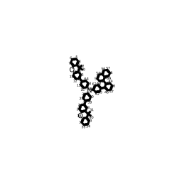 CC1(C)c2ccccc2Oc2ccc(-c3ccc(N(c4ccc(-c5ccc6c(c5)C(C)(C)c5ccccc5O6)cc4)c4ccc(-c5ccccc5-c5cccc6ccccc56)cc4)cc3)cc21